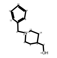 OCC1CC[N+](Cc2ccccc2)CC1